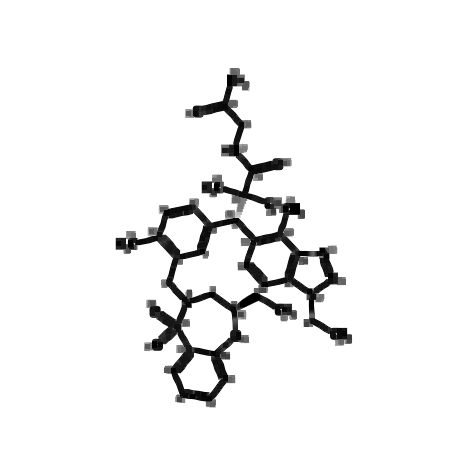 CC[C@@H]1CN(Cc2cc([C@@H](c3ccc4c(nnn4CC)c3C)C(C)(C)C(=O)NCC(N)=O)ccc2C)S(=O)(=O)c2ccccc2O1